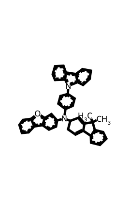 CC1(C)C2=CC(N(c3ccc(-n4c5ccccc5c5ccccc54)cc3)c3ccc4c(c3)oc3ccccc34)CC=C2c2ccccc21